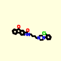 O=C(NCCCCN1CCN(c2ccccc2Cl)CC1)c1ccc2c(c1)C(=O)c1ccccc1-2